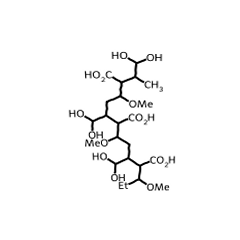 CCC(OC)C(C(=O)O)C(CC(OC)C(C(=O)O)C(CC(OC)C(C(=O)O)C(C)C(O)O)C(O)O)C(O)O